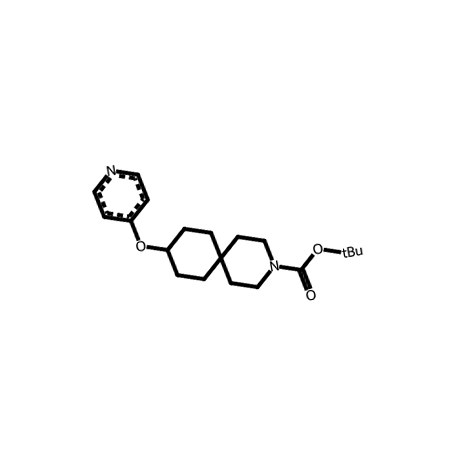 CC(C)(C)OC(=O)N1CCC2(CCC(Oc3ccncc3)CC2)CC1